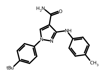 Cc1ccc(Nc2nn(-c3ccc(C(C)(C)C)cc3)cc2C(N)=O)cc1